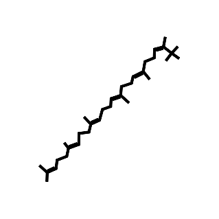 CC(C)=CCC/C(C)=C/CC/C(C)=C/CC/C=C(\C)CC/C=C(\C)CCC=C(C)C(C)(C)C